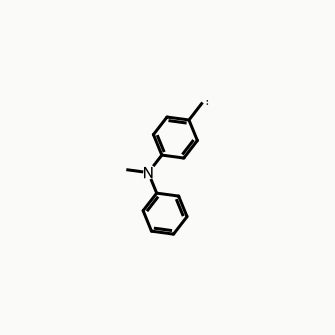 [CH]c1ccc(N(C)c2ccccc2)cc1